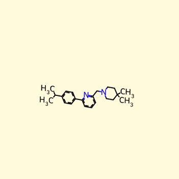 CC(C)c1ccc(-c2cccc(CN3CCC(C)(C)CC3)n2)cc1